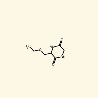 CCOCC1NC(=O)CNC1=O